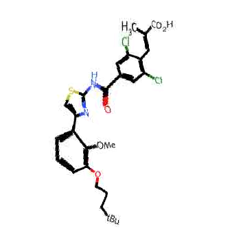 COc1c(OCCCC(C)(C)C)cccc1-c1csc(NC(=O)c2cc(Cl)c(/C=C(\C)C(=O)O)c(Cl)c2)n1